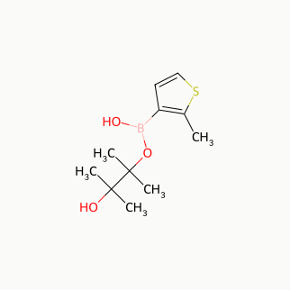 Cc1sccc1B(O)OC(C)(C)C(C)(C)O